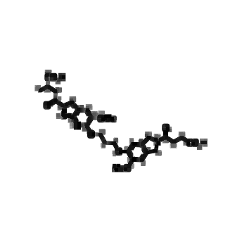 COc1cc2c(cc1OCCCOc1nc3sc(C(=O)CC(C)C(=O)O)cc3cc1OC)CN(C(=O)CCC(=O)O)C2